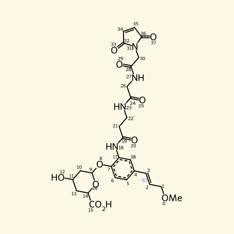 COC/C=C/c1ccc(OC2CC(O)CC(C(=O)O)O2)c(NC(=O)CCNC(=O)CNC(=O)CN2C(=O)C=CC2=O)c1